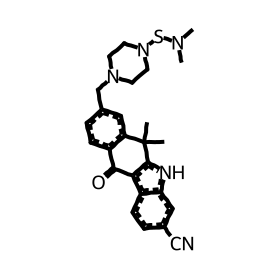 CN(C)SN1CCN(Cc2ccc3c(c2)C(C)(C)c2[nH]c4cc(C#N)ccc4c2C3=O)CC1